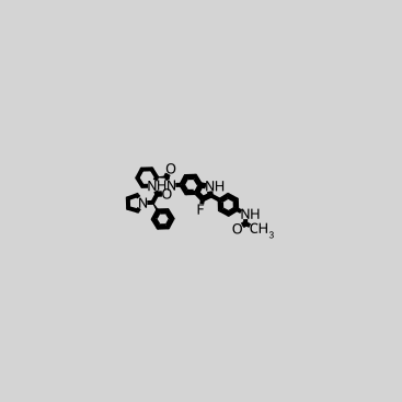 CC(=O)Nc1ccc(-c2[nH]c3ccc(NC(=O)[C@@H]4CCCCN4C(=O)[C@@H](c4ccccc4)N4CCCC4)cc3c2F)cc1